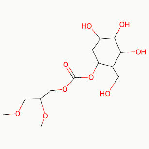 COCC(COC(=O)OC1CC(O)C(O)C(O)C1CO)OC